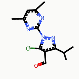 Cc1cc(C)nc(-n2nc(C(C)C)c(C=O)c2Cl)n1